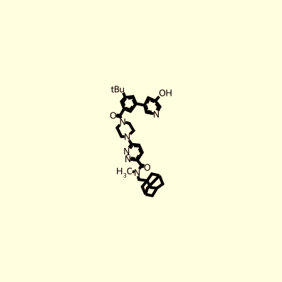 CN(CC12CC3CC(CC(C3)C1)C2)C(=O)c1ccc(N2CCN(C(=O)c3cc(-c4cncc(O)c4)cc(C(C)(C)C)c3)CC2)nn1